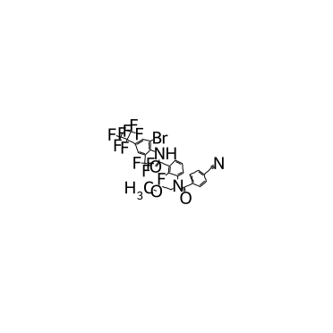 COCCN(C(=O)c1ccc(C#N)cc1)c1cccc(C(=O)Nc2c(Br)cc(C(F)(C(F)(F)F)C(F)(F)F)cc2C(F)(F)F)c1F